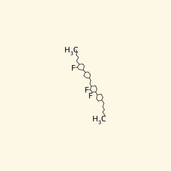 CCCCCCC1CCC(C2CCC(CCC3CCC(C4CCC(CCCCC)C(F)C4)CC3)C(F)C2F)CC1